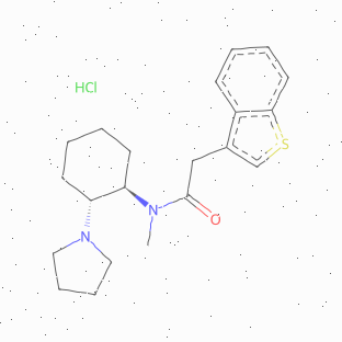 CN(C(=O)Cc1csc2ccccc12)[C@@H]1CCCC[C@H]1N1CCCC1.Cl